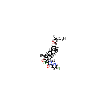 CCn1c([C@@]23CC[C@]4(C)[C@H](CC[C@@H]5[C@@]6(C)CC[C@H](OC(=O)CC(C)(C)C(=O)O)C(C)(C)[C@@H]6CC[C@]54C)C2=C(C(C)C)C(=O)C3)c(Cl)c(=O)n1-c1ccc(Cl)cn1